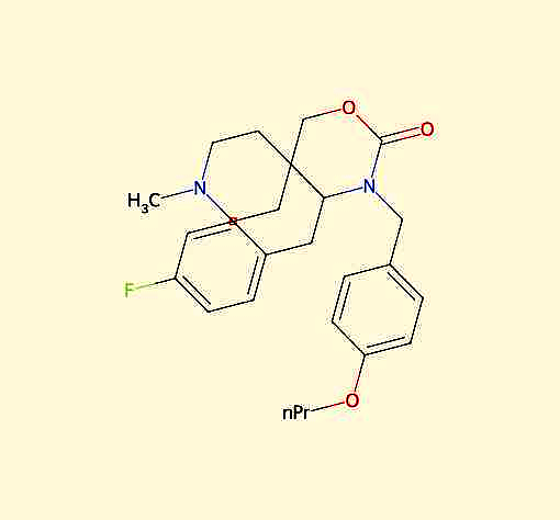 CCCOc1ccc(CN2C(=O)OCC3(CCN(C)CC3)C2Cc2ccc(F)cc2)cc1